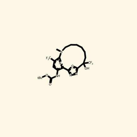 CN1CCCCCCC(O)(C(F)(F)F)c2nnc(o2)-c2nc1c(C(F)(F)F)cc2NC(=O)OC(C)(C)C